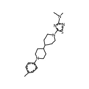 Cc1ccc(N2CCC(C3CCN(c4nc(N(C)C)ns4)CC3)CC2)cc1